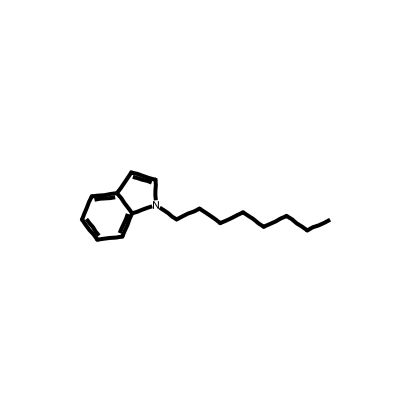 CCCCCCCCn1ccc2ccccc21